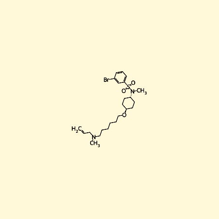 C=CCN(C)CCCCCCO[C@H]1CC[C@H](N(C)S(=O)(=O)c2cccc(Br)c2)CC1